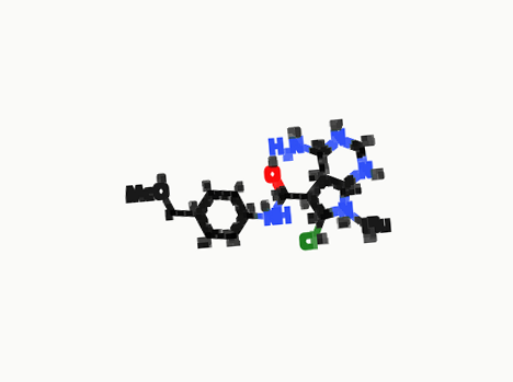 COCc1ccc(NC(=O)c2c(Cl)n(C(C)(C)C)c3ncnc(N)c23)cc1